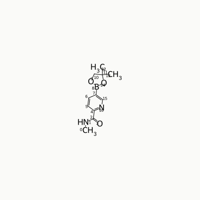 CNC(=O)c1ccc(B2OCC(C)(C)O2)cn1